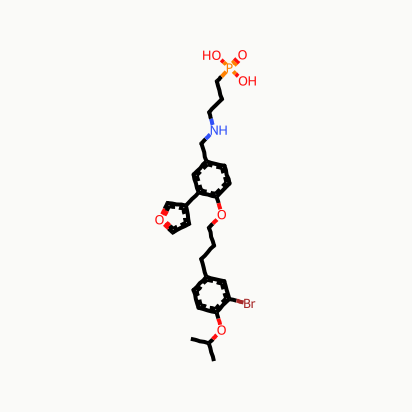 CC(C)Oc1ccc(CCCOc2ccc(CNCCCP(=O)(O)O)cc2-c2ccoc2)cc1Br